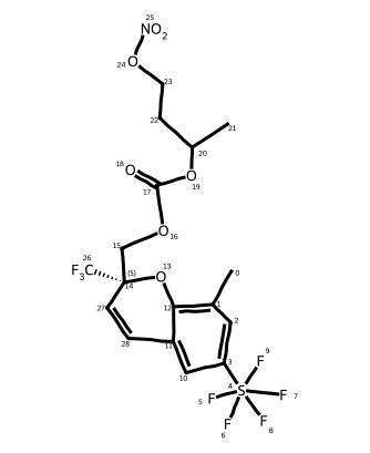 Cc1cc(S(F)(F)(F)(F)F)cc2c1O[C@@](COC(=O)OC(C)CCO[N+](=O)[O-])(C(F)(F)F)C=C2